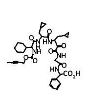 CC#CCOC(=O)NC(C(=O)NC(CC1CC1)C(=O)NC(CC1CC1)C(=O)C(=O)NCC(=O)NC(C(=O)O)c1ccccc1)C1CCCCC1